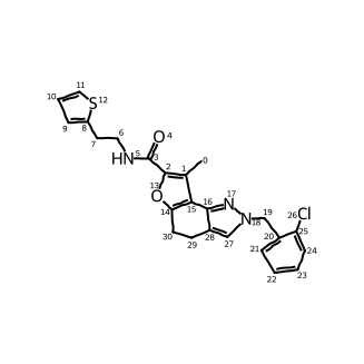 Cc1c(C(=O)NCCc2cccs2)oc2c1-c1nn(Cc3ccccc3Cl)cc1CC2